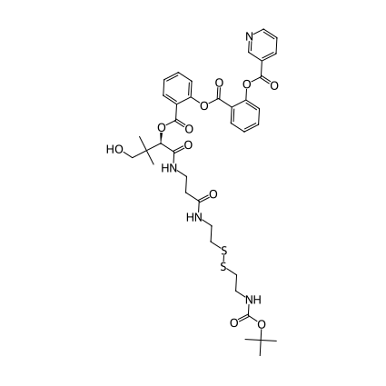 CC(C)(C)OC(=O)NCCSSCCNC(=O)CCNC(=O)[C@H](OC(=O)c1ccccc1OC(=O)c1ccccc1OC(=O)c1cccnc1)C(C)(C)CO